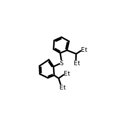 CCC(CC)c1ccccc1Sc1ccccc1C(CC)CC